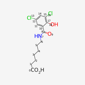 O=C(O)CCCCCCNC(=O)c1cc(Cl)cc(Cl)c1O